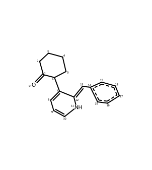 O=C1CCCCC1C1=CC=CNC1=Cc1ccccc1